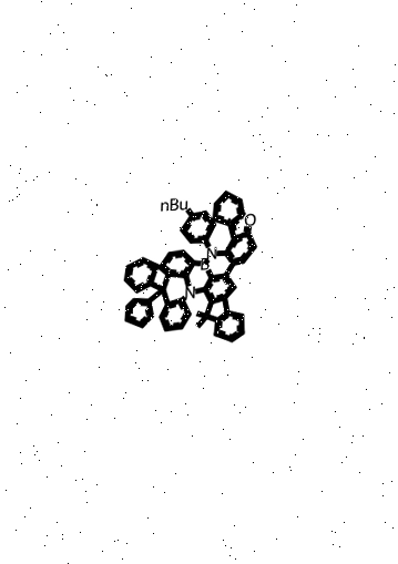 CCCCc1ccc(N2B3c4cccc5c4N(c4ccccc4C5(c4ccccc4)c4ccccc4)c4c3c(cc3c4C(C)(C)c4ccccc4-3)-c3ccc4oc5ccccc5c4c32)cc1